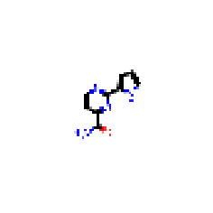 NC(=O)c1ccnc(-c2ccc[nH]2)n1